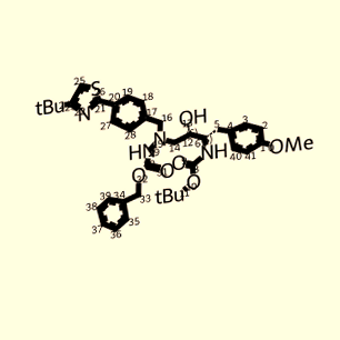 COc1ccc(C[C@H](NC(=O)OC(C)(C)C)[C@@H](O)CN(Cc2ccc(-c3nc(C(C)(C)C)cs3)cc2)NC(=O)OCc2ccccc2)cc1